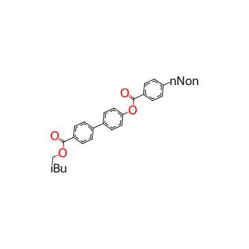 CCCCCCCCCc1ccc(C(=O)Oc2ccc(-c3ccc(C(=O)OCC(C)CC)cc3)cc2)cc1